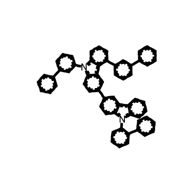 c1ccc(-c2cccc(-c3cccc4c3c3cc(-c5ccc6c(c5)c5ccccc5n6-c5ccccc5-c5ccccc5)ccc3n4-c3cccc(-c4ccccc4)c3)c2)cc1